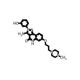 CN1CCN(CCCOc2ccc3c(c2)[nH]c(=O)c2c(N)n(-c4cccc(O)c4)nc23)CC1